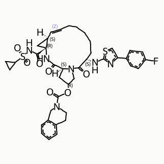 O=C1N[C@]2(C(=O)NS(=O)(=O)C3CC3)C[C@H]2/C=C\CCCCC[C@H](Nc2nc(-c3ccc(F)cc3)cs2)C(=O)N2C[C@H](OC(=O)N3CCc4ccccc4C3)C[C@@H]12